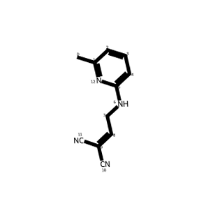 Cc1cccc(NCC=C(C#N)C#N)n1